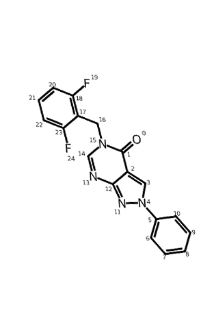 O=c1c2cn(-c3ccccc3)nc2ncn1Cc1c(F)cccc1F